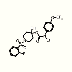 CCN(C(=O)OC1(O)CCN(S(=O)(=O)c2ccccc2F)CC1)c1ccc(OC(F)(F)F)cc1